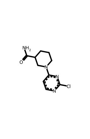 NC(=O)C1CCCN(c2ccnc(Cl)n2)C1